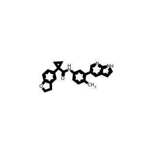 Cc1ccc(NC(=O)C2(c3ccc4c(c3)CCO4)CC2)cc1-c1cnc2[nH]ccc2c1